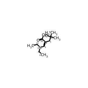 CCN(C=C(CC(C)(C)C)C(=O)O)CC